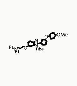 CCCCn1c(-c2cccc(Oc3ccc(OC)cc3)c2)nc2ccc(OCCCN(CC)CC)cc21